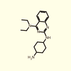 CCN(CC)c1nc(NC2CCC(N)CC2)nc2ccccc12